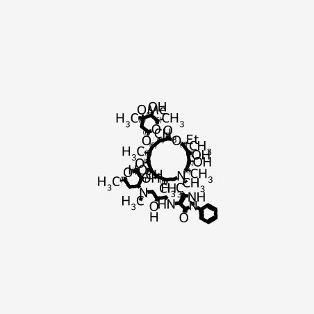 CC[C@H]1OC(=O)[C@H](C)[C@@H](O[C@H]2C[C@@](C)(OC)[C@@H](O)[C@H](C)O2)[C@H](C)[C@@H](O[C@@H]2O[C@H](C)CC(N(C)CC(O)CNc3c(C)[nH]n(-c4ccccc4)c3=O)[C@H]2O)[C@](C)(O)C[C@@H](C)CN(C)[C@H](C)[C@@H](O)[C@]1(C)O